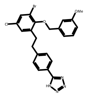 COc1cccc(COc2c(Br)cc(Cl)cc2CCc2ccc(-c3nnn[nH]3)cc2)c1